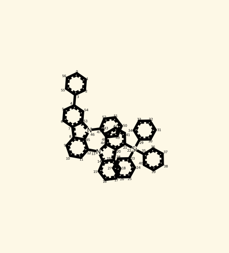 c1ccc(-c2ccc3c4cccc(-n5c6ccccc6c6c([Si](c7ccccc7)(c7ccccc7)c7ccccc7)cccc65)c4n(-c4ccccc4)c3c2)cc1